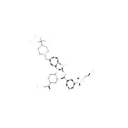 C=CCNS(=O)(=O)c1cccc(C(=O)/N=c2/[nH]c3ccc(CN4CCC(C(C)(C)O)CC4)cc3n2C2CCC(C(N)=O)CC2)c1